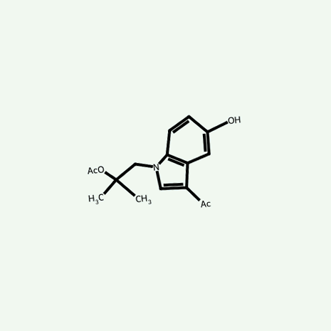 CC(=O)OC(C)(C)Cn1cc(C(C)=O)c2cc(O)ccc21